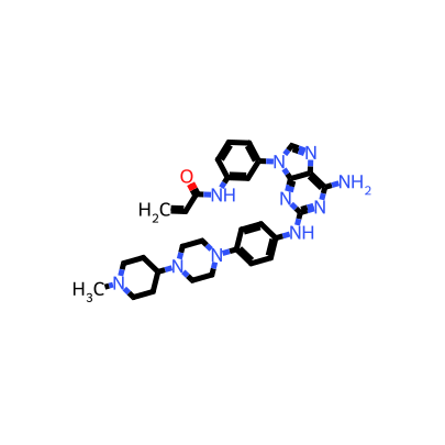 C=CC(=O)Nc1cccc(-n2cnc3c(N)nc(Nc4ccc(N5CCN(C6CCN(C)CC6)CC5)cc4)nc32)c1